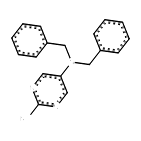 N#Cc1ncc(N(Cc2ccccc2)Cc2ccccc2)cn1